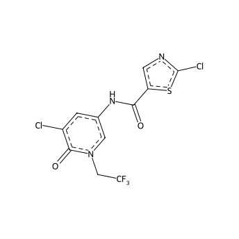 O=C(Nc1cc(Cl)c(=O)n(CC(F)(F)F)c1)c1cnc(Cl)s1